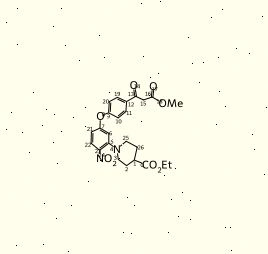 CCOC(=O)C1CCN(c2cc(Oc3ccc(C(=O)CC(=O)OC)cc3)ccc2[N+](=O)[O-])CC1